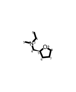 CCN(C)C[C@@H]1CCCO1